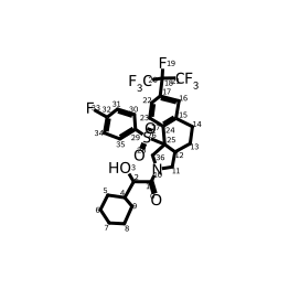 O=C(C(O)C1CCCCC1)N1CC2CCc3cc(C(F)(C(F)(F)F)C(F)(F)F)ccc3C2(S(=O)(=O)c2ccc(F)cc2)C1